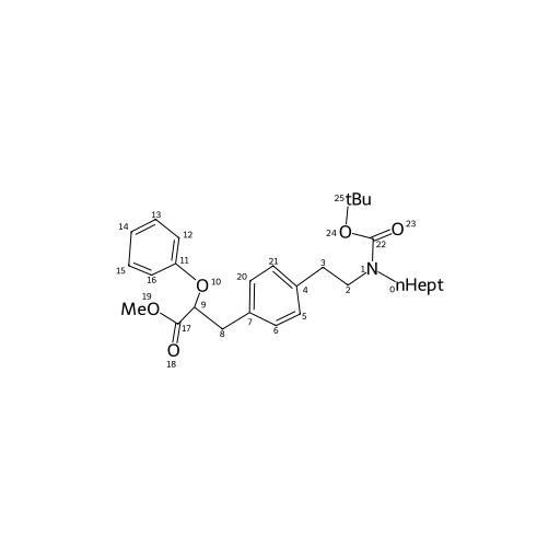 CCCCCCCN(CCc1ccc(CC(Oc2ccccc2)C(=O)OC)cc1)C(=O)OC(C)(C)C